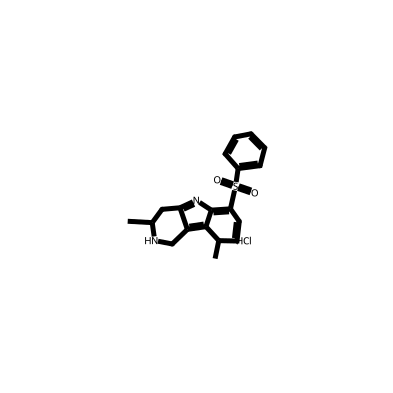 CC1CC2=NC3=C(S(=O)(=O)c4ccccc4)C=CC(C)C3=C2CN1.Cl